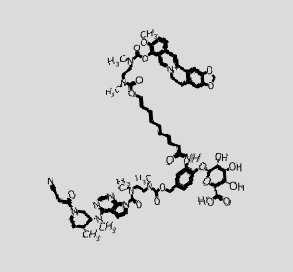 COc1ccc2cc3[n+](cc2c1OC(=O)N(C)CCN(C)C(=O)OCCCCCCCCCC(=O)Nc1cc(COC(=O)N(C)CCN(C)C(=O)n2ccc4c(N(C)[C@H]5CN(C(=O)CC#N)CC[C@H]5C)ncnc42)ccc1O[C@@H]1O[C@H](C(=O)O)[C@@H](O)[C@H](O)[C@H]1O)CCc1cc2c(cc1-3)OCO2